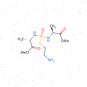 COC(=O)[C@H](C)NP(=O)(N[C@@H](C)C(=O)OC)SCCN